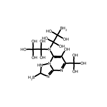 BC1N=C2N=C(C(O)(O)O)C(O)=C(N(C(O)(O)C(B)(O)O)C(O)(O)C(O)(O)O)N2N1